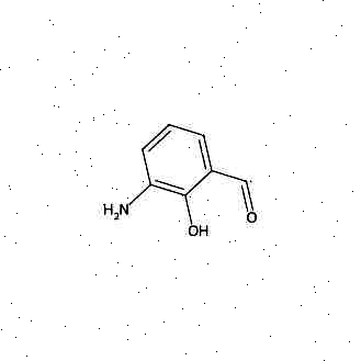 Nc1cccc([C]=O)c1O